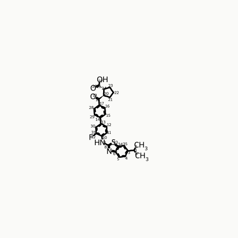 CC(C)c1ccc2nc(Nc3ccc(-c4ccc(C(=O)[C@@H]5CCC[C@H]5C(=O)O)cc4)cc3F)sc2c1